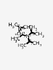 CCN(C(C)C)C(C)C.CN(C)C